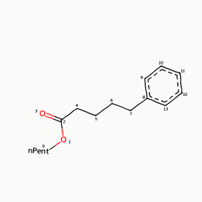 CCCCCOC(=O)CCCCc1ccccc1